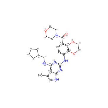 N#Cc1c[nH]c2nc(Nc3ccc(C(=O)N4CCOCC4)c4c3OCCO4)nc(NCC3CCCC3)c12